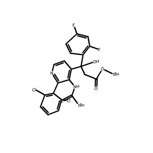 CC(C)(C)OC(=O)CC(O)(c1ccc(F)cc1F)c1ccnc(-c2c(Cl)cccc2Cl)c1NC(=O)C(C)(C)C